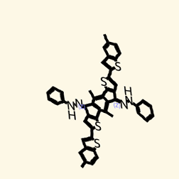 Cc1ccc2sc(-c3cc4/c(=N\Nc5ccccc5)c5c(C)c6c(c(C)c5c4s3)/c(=N/Nc3ccccc3)c3cc(-c4cc5cc(C)ccc5s4)sc36)cc2c1